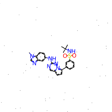 Cn1cnc2cc(Nc3ncc4ccc(-c5cccc(S(=O)(=O)NC(C)(C)C)c5)n4n3)ccc21